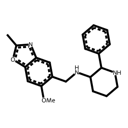 COc1cc2oc(C)nc2cc1CNC1CCCNC1c1ccccc1